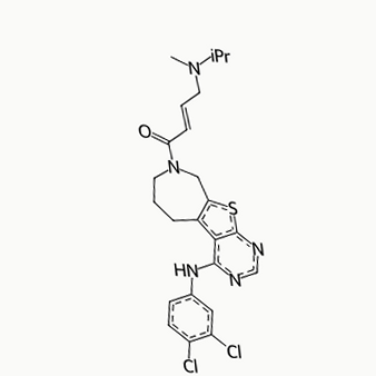 CC(C)N(C)CC=CC(=O)N1CCCc2c(sc3ncnc(Nc4ccc(Cl)c(Cl)c4)c23)C1